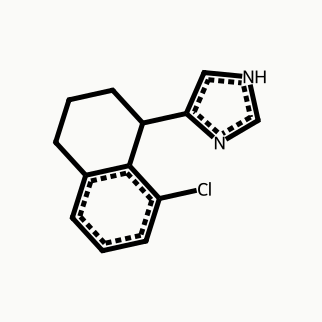 Clc1cccc2c1C(c1c[nH]cn1)CCC2